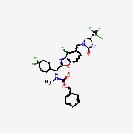 CN(C(=O)OCc1ccccc1)[C@H](c1nc2c(F)c(CN3C[C@@H](C(F)(F)F)NC3=O)ccc2o1)C1CCC(F)(F)CC1